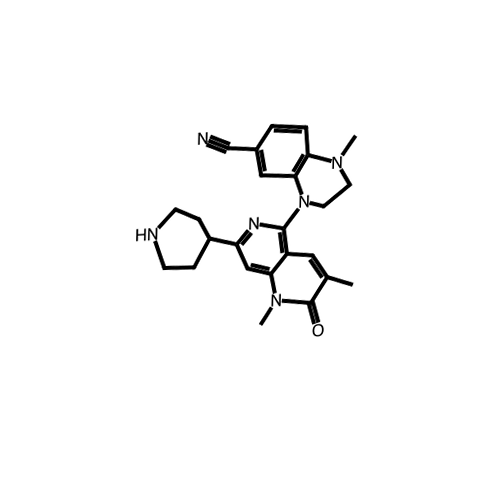 Cc1cc2c(N3CCN(C)c4ccc(C#N)cc43)nc(C3CCNCC3)cc2n(C)c1=O